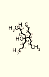 CCCCC(CCC)C(O)(CCCC)CCCC